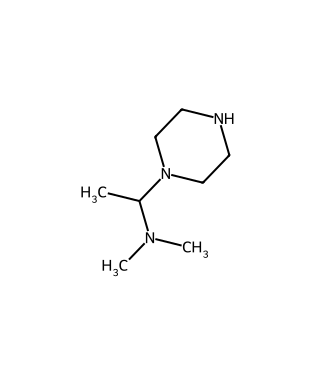 CC(N(C)C)N1CCNCC1